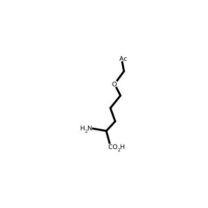 CC(=O)COCCCC(N)C(=O)O